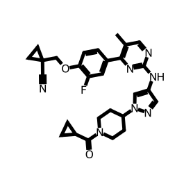 Cc1cnc(Nc2cnn(C3CCN(C(=O)C4CC4)CC3)c2)nc1-c1ccc(OCC2(C#N)CC2)c(F)c1